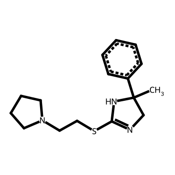 CC1(c2ccccc2)CN=C(SCCN2CCCC2)N1